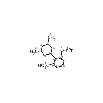 CCCOc1cccc(C(=O)O)c1N1CC(C)CC(C)C1